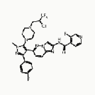 Cn1nc(-c2ccc(F)cc2)c(-c2ccc3nc(NC(=O)c4ccncc4F)cn3n2)c1N1CCN(CC(O)C(F)(F)F)CC1